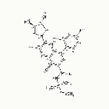 CCC(C)(C)NC(=O)c1cn(-c2ncc(F)cc2F)c2nc(N3C[C@@H](O)[C@H](O)C3)c(F)cc2c1=O